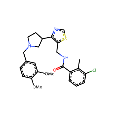 COc1ccc(CN2CCC(c3ncsc3CNC(=O)c3cccc(Cl)c3C)C2)cc1OC